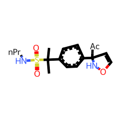 CCCNS(=O)(=O)C(C)(C)c1ccc(C2(C(C)=O)C=CON2)cc1